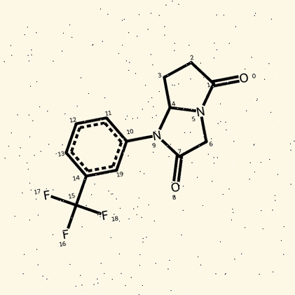 O=C1CCC2N1CC(=O)N2c1cccc(C(F)(F)F)c1